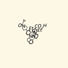 CCc1cc(NC2CCc3cccc(-c4cccc(-n5ncc(C(=O)O)c5CC)n4)c32)ccc1C1CCN(C(=O)C2CC2)CC1